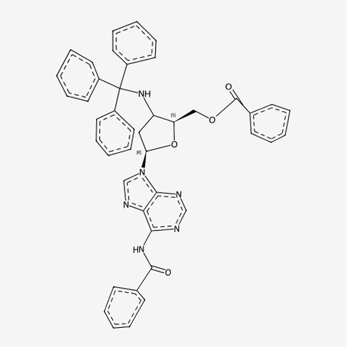 O=C(Nc1ncnc2c1ncn2[C@H]1CC(NC(c2ccccc2)(c2ccccc2)c2ccccc2)[C@@H](COC(=O)c2ccccc2)O1)c1ccccc1